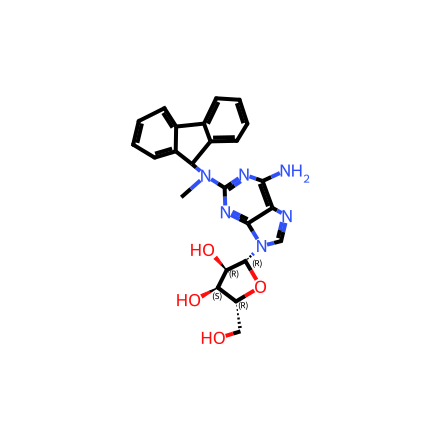 CN(c1nc(N)c2ncn([C@@H]3O[C@H](CO)[C@@H](O)[C@H]3O)c2n1)C1c2ccccc2-c2ccccc21